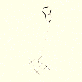 CC(C)(C)O[Si](CCSSSSSSSSc1nc2ccccc2s1)(OC(C)(C)C)OC(C)(C)C